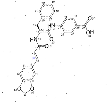 O=C(/C=C/c1ccc2c(c1)OCO2)N[C@@H](Cc1ccccc1)C(=O)Nc1ccc(C(=O)O)cc1